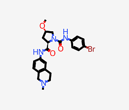 CO[C@@H]1C[C@H](C(=O)Nc2ccc3c(c2)CCN(C)C3)N(C(=O)Nc2ccc(Br)cc2)C1